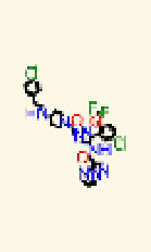 O=C(Nc1cn(CC(=O)N2CCC(NCCc3ccc(Cl)cc3)CC2)nc1-c1cc(Cl)ccc1OC(F)F)c1cnn2cccnc12